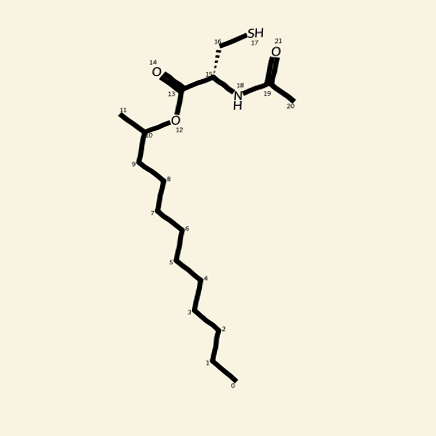 CCCCCCCCCCC(C)OC(=O)[C@H](CS)NC(C)=O